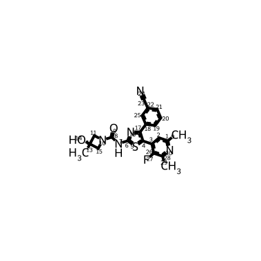 Cc1cc(-c2sc(NC(=O)N3CC(C)(O)C3)nc2-c2cccc(C#N)c2)c(F)c(C)n1